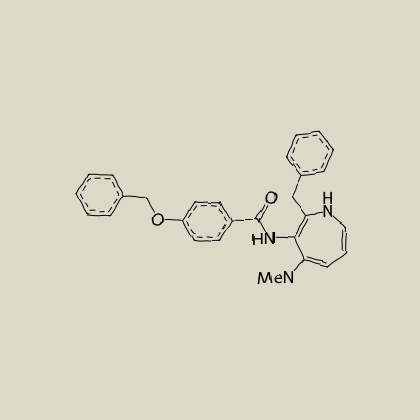 CNC1=CC=CNC(Cc2ccccc2)=C1NC(=O)c1ccc(OCc2ccccc2)cc1